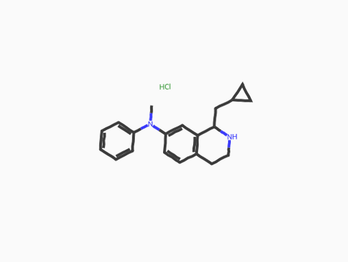 CN(c1ccccc1)c1ccc2c(c1)C(CC1CC1)NCC2.Cl